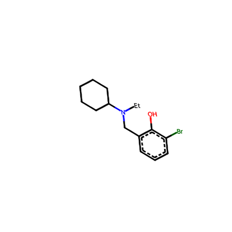 CCN(Cc1cccc(Br)c1O)C1CCCCC1